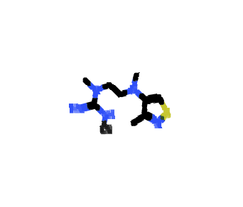 Cc1nscc1N(C)CCN(C)C(=N)NC#N